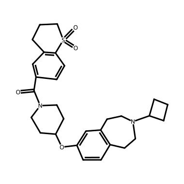 O=C(c1ccc2c(c1)CCCS2(=O)=O)N1CCC(Oc2ccc3c(c2)CCN(C2CCC2)CC3)CC1